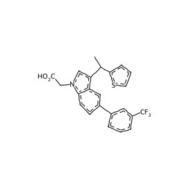 CC(c1cccs1)c1cn(CC(=O)O)c2ccc(-c3cccc(C(F)(F)F)c3)cc12